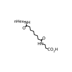 CCCCCCNC(=O)CCCCCCC(=O)NCCC(=O)O